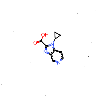 O=C(O)c1nc2cnccc2n1C1CC1